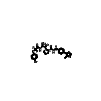 Cc1ncsc1-c1ccc([C@H](C)NC(=O)[C@@H]2CCCN2C(=O)C(NC(=O)C(F)(F)Oc2ccc(Br)cc2)C(C)(C)C)cc1